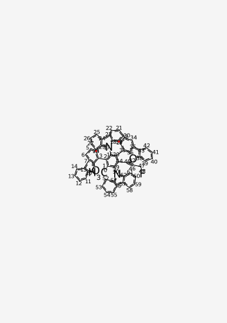 Cc1c(-c2cccc3c2oc2ccccc23)c(-n2c3ccccc3c3ccccc32)c(-c2cccc3c2oc2ccccc23)c(C#CCF)c1-n1c2ccccc2c2ccccc21